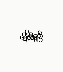 O=C1OC(=O)[C@@H]2C1C1C[C@H]2[C@@]2(CC[C@]3(C[C@H]4CC3[C@@H]3C(=O)OC(=O)[C@H]43)C2=O)C1